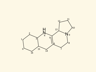 C1CCC2NC3=C(CCN4CCCC34)CC2C1